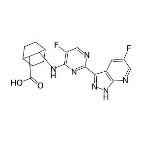 O=C(O)C1C2CCC(CC2)C1Nc1nc(-c2n[nH]c3ncc(F)cc23)ncc1F